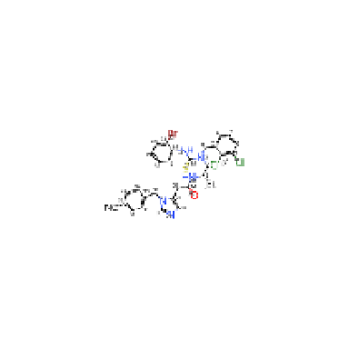 CC[C@@H](CN(Cc1cccc(Cl)c1Cl)C(=S)Nc1ccccc1Br)NC(=O)Cc1cncn1Cc1ccc(C#N)cc1